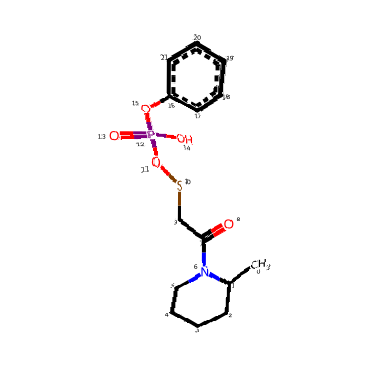 CC1CCCCN1C(=O)CSOP(=O)(O)Oc1ccccc1